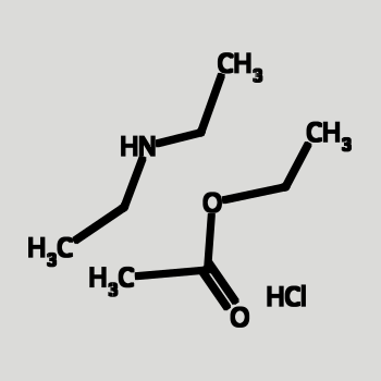 CCNCC.CCOC(C)=O.Cl